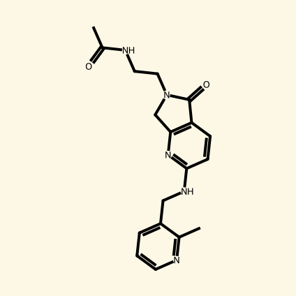 CC(=O)NCCN1Cc2nc(NCc3cccnc3C)ccc2C1=O